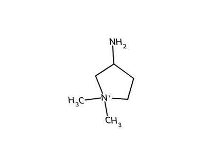 C[N+]1(C)CCC(N)C1